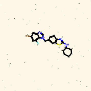 Fc1cc(Br)cc2ncn(Cc3ccc4nc(NC5CCCCC5)sc4c3)c12